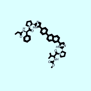 CCC(=O)N[C@@H](C(=O)N1CCC[C@H]1c1ncc(-c2ccc(-c3ccc4cc(-c5cnc([C@@H]6CCCN6C(=O)C(NC(=O)OC)C(C)C)[nH]5)ccc4c3)cc2)[nH]1)c1ccccc1